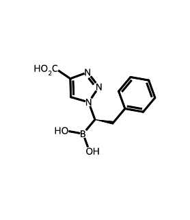 O=C(O)c1cn([C@@H](Cc2ccccc2)B(O)O)nn1